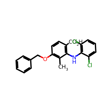 Cc1c(OCc2ccccc2)ccc(C(=O)O)c1Nc1c(Cl)cccc1Cl